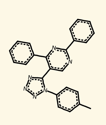 Cc1ccc(-n2nnnc2-c2cnc(-c3ccccc3)nc2-c2ccccc2)cc1